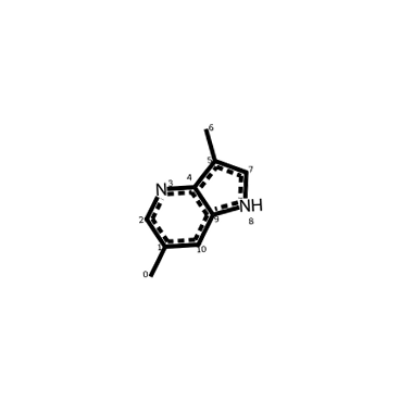 Cc1cnc2c(C)c[nH]c2c1